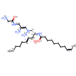 CCCCCCCC/C=C\CCCCCCCC(=O)N[C@@H](CN(N)/C=C(\N)CNC(=O)CN)[C@H](O)/C=C/CCCCCCCCCCCCC